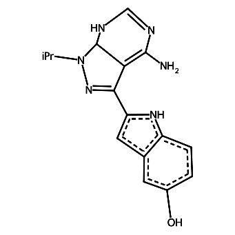 CC(C)N1N=C(c2cc3cc(O)ccc3[nH]2)C2=C(N)N=CNC21